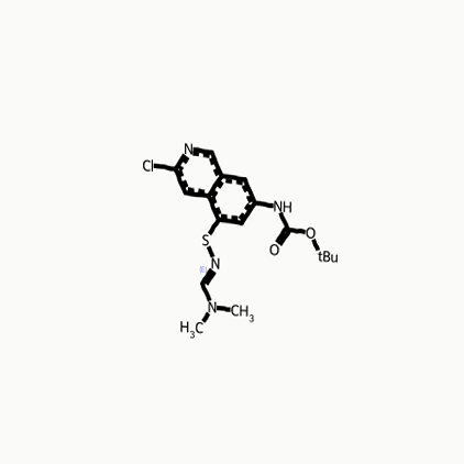 CN(C)/C=N/Sc1cc(NC(=O)OC(C)(C)C)cc2cnc(Cl)cc12